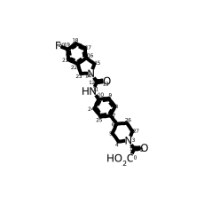 O=C(O)C(=O)N1CCC(c2ccc(NC(=O)N3Cc4ccc(F)cc4C3)cc2)CC1